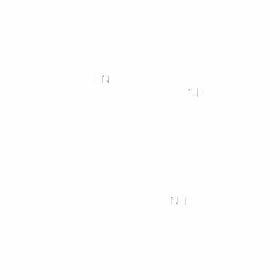 C1CCCNCCNCCCNCC1